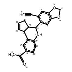 C#Cc1cc2c(cc1C1Nc3ccc(C(C)=O)cc3C3C=CCC31)OCO2